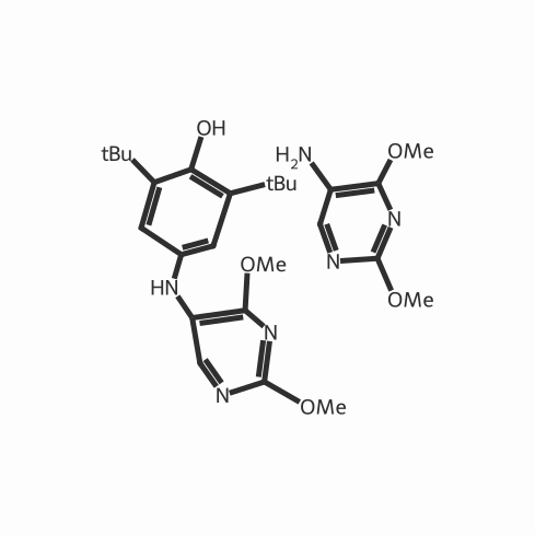 COc1ncc(N)c(OC)n1.COc1ncc(Nc2cc(C(C)(C)C)c(O)c(C(C)(C)C)c2)c(OC)n1